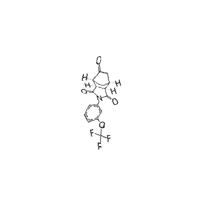 O=C1C[C@@H]2CC[C@H]1[C@@H]1C(=O)N(c3cccc(OC(F)(F)F)c3)C(=O)[C@H]21